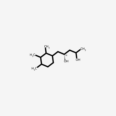 CC(O)C[C@H](O)CC1CCC(C)C(C)C1C